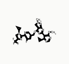 COc1ncnc(C2CC2)c1-c1nc(OCc2cnc(-c3nc(C(F)(F)F)cn3C3CC3)c(F)c2)c2cn(C)nc2n1